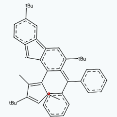 CC1=C(c2c3c(cc(C(C)(C)C)c2=C(c2ccccc2)c2ccccc2)=c2cc(C(C)(C)C)ccc2=[C]3)C(C)C=C1C(C)(C)C